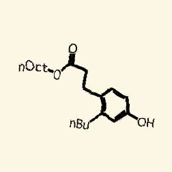 CCCCCCCCOC(=O)CCc1ccc(O)cc1CCCC